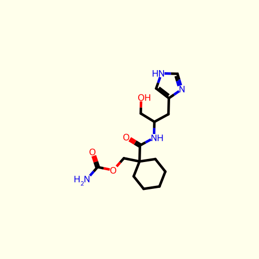 NC(=O)OCC1(C(=O)NC(CO)Cc2c[nH]cn2)CCCCC1